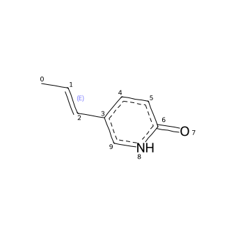 C/C=C/c1ccc(=O)[nH]c1